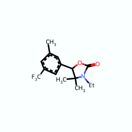 CCN1C(=O)OC(c2cc(C)cc(C(F)(F)F)c2)C1(C)C